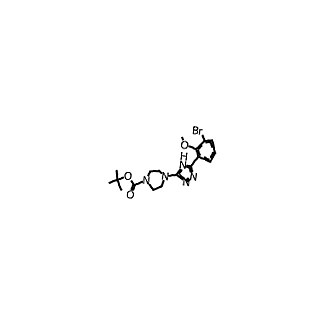 COc1c(Br)cccc1-c1nnc(N2CCN(C(=O)OC(C)(C)C)CC2)[nH]1